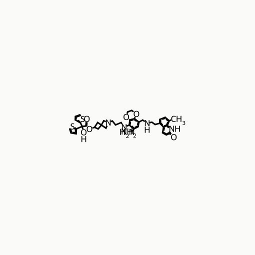 Cc1ccc(CCNCc2cc(N)c(N(N)CCCN3CC4(CC(OC(=O)C(O)(c5cccs5)c5cccs5)C4)C3)c3c2OCCO3)c2ccc(=O)[nH]c12